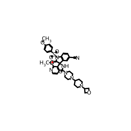 COc1ccc(S(=O)(=O)N2C(=O)[C@@](NC(=O)N3CCN(C4CCN(C5COC5)CC4)CC3)(c3cccnc3OC)c3cc(C#N)ccc32)cc1